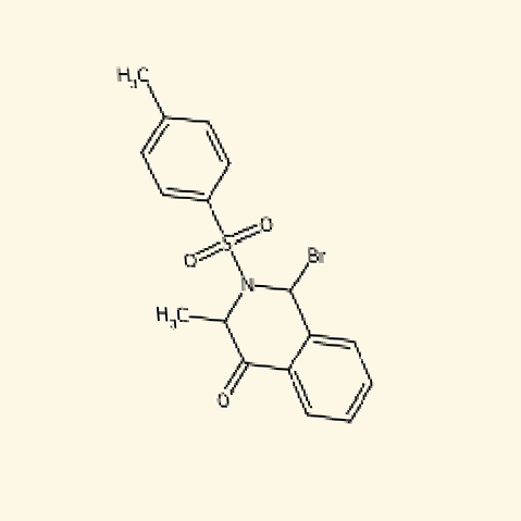 Cc1ccc(S(=O)(=O)N2C(C)C(=O)c3ccccc3C2Br)cc1